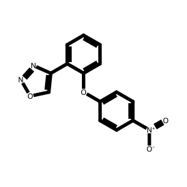 O=[N+]([O-])c1ccc(Oc2ccccc2-c2conn2)cc1